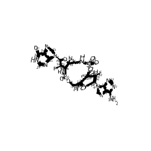 Nc1ncnc2c1ncn2[C@@H]1O[C@@H]2CO[P@@](=O)(S)[C@H]3[C@@H](F)[C@@H](n4cnc5c(=O)[nH]cnc54)O[C@@H]3CNS(=O)(=O)O[C@H]2[C@H]1F